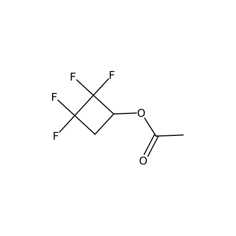 CC(=O)OC1CC(F)(F)C1(F)F